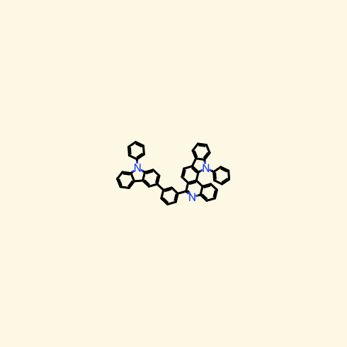 c1ccc(-n2c3ccccc3c3cc(-c4cccc(-c5nc6ccccc6c6c5ccc5c7ccccc7n(-c7ccccc7)c56)c4)ccc32)cc1